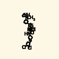 CN(c1cccc(-c2csc(SCC(=O)NC3CCN(Cc4ccc(Cl)c(Cl)c4)CC3)n2)c1)C1CCCN1.Cl.Cl